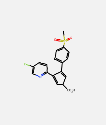 CS(=O)(=O)c1ccc(C2=CC(C(=O)O)C=C2c2ccc(F)cn2)cc1